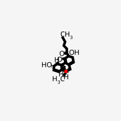 CCCCCC(=O)C1(O)CC=C2C[C@@H]3[C@@H]4C=C[C@H](O)[C@@H]5OC1=C2[C@]45CCN3C